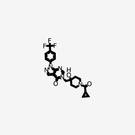 O=C(C1CC1)N1CCC(O)(Cn2cnc3c(cnn3-c3ccc(C(F)(F)F)cc3)c2=O)CC1